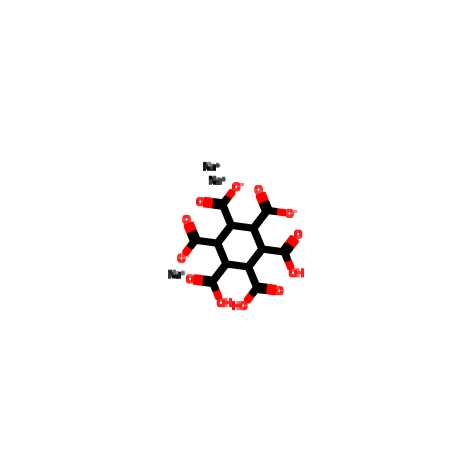 O=C([O-])C1C(C(=O)[O-])C(C(=O)O)C(C(=O)O)C(C(=O)O)C1C(=O)[O-].[Na+].[Na+].[Na+]